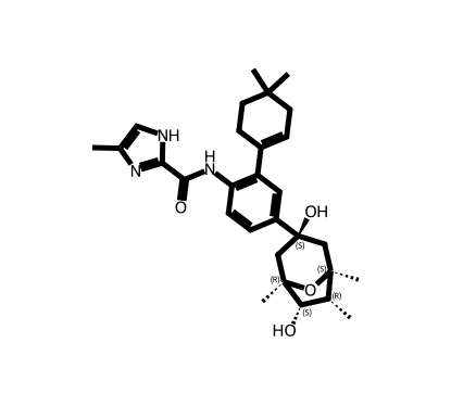 Cc1c[nH]c(C(=O)Nc2ccc([C@@]3(O)C[C@@]4(C)O[C@@](C)(C3)[C@H](C)[C@@H]4O)cc2C2=CCC(C)(C)CC2)n1